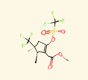 COC(=O)C1=C(OS(=O)(=O)C(F)(F)F)C[C@](C)(C(F)(F)F)[C@@H]1C